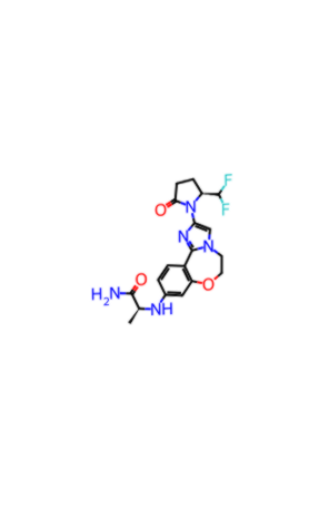 C[C@H](Nc1ccc2c(c1)OCCn1cc(N3C(=O)CC[C@H]3C(F)F)nc1-2)C(N)=O